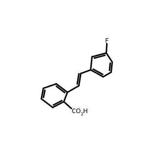 O=C(O)c1ccccc1C=Cc1cccc(F)c1